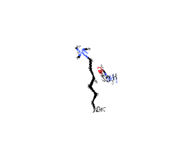 CCCCCCCCCCCCCCCC[N+](C)(C)C.CN.O=S(=O)([O-])O